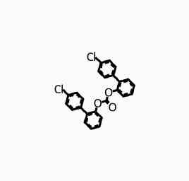 O=C(Oc1ccccc1-c1ccc(Cl)cc1)Oc1ccccc1-c1ccc(Cl)cc1